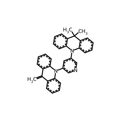 C=C1c2ccccc2N(c2cncc(N3c4ccccc4C(C)(C)c4ccccc43)c2)c2ccccc21